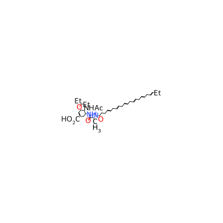 CCC=CCC=CCC=CCC=CCC=CCC=CCCC(=O)NC(C)C(=O)NC1CC(C(=O)O)=CC(OC(CC)CC)C1NC(C)=O